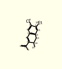 C=C(C)C1=Cc2cc(Cl)c(CC)cc2CC1C